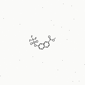 COC(=O)c1ccc2ccc(OS(=O)(=O)C(F)(F)F)cc2c1